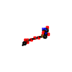 Cc1ccc(S(=O)(=O)OCCOCCOCCOCCSc2cccc3c2C(=O)N(C2CCC(=O)NC2=O)C3=O)cc1